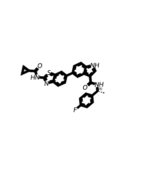 C[C@@H](NC(=O)c1c[nH]c2ccc(-c3ccc4nc(NC(=O)C5CC5)sc4c3)cc12)c1ccc(F)cc1